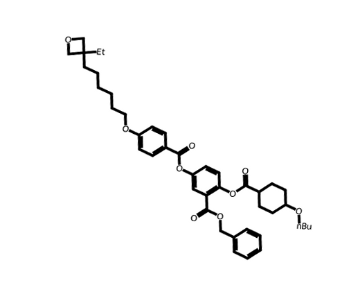 CCCCOC1CCC(C(=O)Oc2ccc(OC(=O)c3ccc(OCCCCCCC4(CC)COC4)cc3)cc2C(=O)OCc2ccccc2)CC1